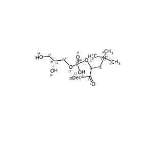 CCCCCCCCCCC(=O)C(C[N+](C)(C)C)OP(=O)(O)OC[C@H](O)CO